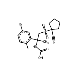 CC(CS(=O)(=O)C1(C#N)CCCC1)(NC(=O)O)c1cc(Br)ccc1F